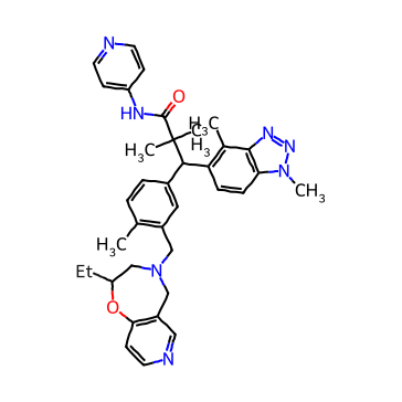 CCC1CN(Cc2cc(C(c3ccc4c(nnn4C)c3C)C(C)(C)C(=O)Nc3ccncc3)ccc2C)Cc2cnccc2O1